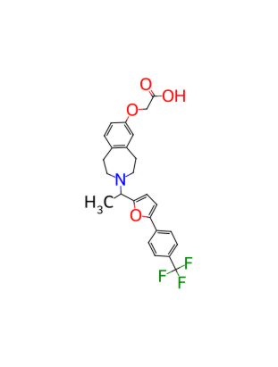 CC(c1ccc(-c2ccc(C(F)(F)F)cc2)o1)N1CCc2ccc(OCC(=O)O)cc2CC1